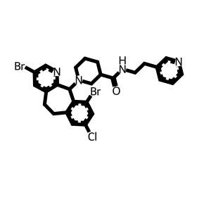 O=C(NCCc1cccnc1)C1CCCN(C2c3ncc(Br)cc3CCc3cc(Cl)cc(Br)c32)C1